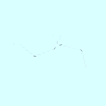 CCCCCCCC/C=C\CCCCCCCC=C1OC(=CCCCCCCC/C=C\CCCCCCCC)C(CCN(C)C)O1